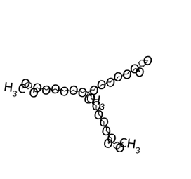 CCC(COCCOCCOCCOCCOCCOC(=O)C1CCOC(C)C1)(COCCOCCOCCOCCOCCOC(=O)C1CCOC(C)C1)COCCOCCOCCOCCOCCOC(=O)C1CCC2OC2C1